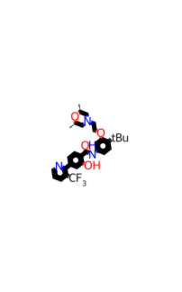 C[C@@H]1CN(CCOc2cc(NC(=O)c3ccc(-c4ncccc4C(F)(F)F)cc3O)ccc2C(C)(C)C)C[C@H](C)O1